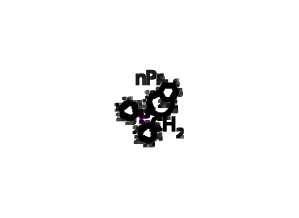 C=C1CCC2=CC=C(CCC)/C(=C/C=C\1P(c1ccccc1)c1ccccc1)C2